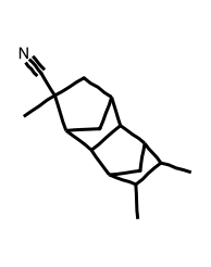 CC1C(C)C2CC1C1C3CC(C21)C(C)(C#N)C3